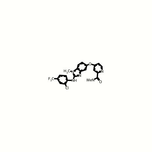 CNC(=O)c1cc(Oc2ccc3c(c2)nc(Nc2ccc(C(F)(F)F)cc2Cl)n3C)ccn1